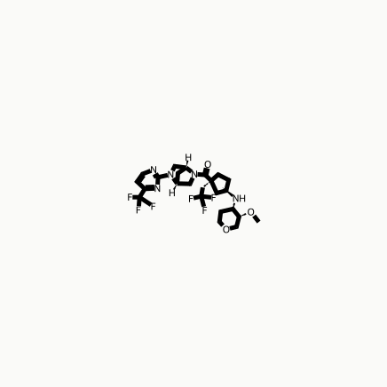 CO[C@@H]1COCC[C@@H]1N[C@@H]1CC[C@](CC(F)(F)F)(C(=O)N2C[C@@H]3C[C@H]2CN3c2nccc(C(F)(F)F)n2)C1